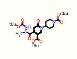 CN(NC(=O)OC(C)(C)C)C(=O)c1cc(=O)n(C2CCN(C(=O)OC(C)(C)C)CC2)cc1C(=O)OC(C)(C)C